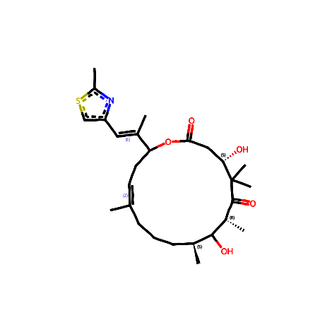 C/C1=C/CC(/C(C)=C/c2csc(C)n2)OC(=O)C[C@H](O)C(C)(C)C(=O)[C@H](C)C(O)[C@@H](C)CCC1